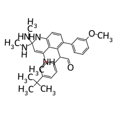 CNC1=CC(NC)(NC)Nc2ccc(-c3cccc(OC)c3)c(C(C=O)c3ccc(C(C)(C)C)cc3)c21